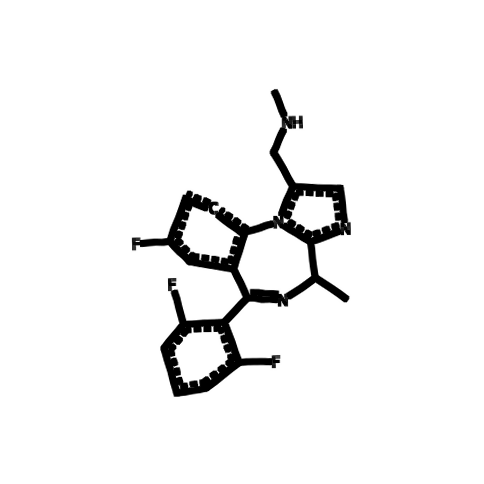 CNCc1cnc2n1-c1ccc(F)cc1C(c1c(F)cccc1F)=NC2C